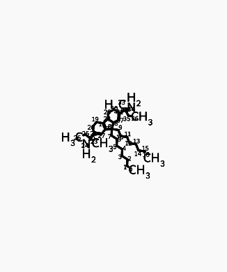 CCCCCCCCC1(CCCCCCCC)C2=C(CCC(C(C)(N)CC)=C2)C2CCC([C@](C)(N)CC)=CC21